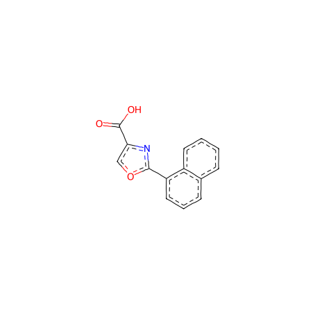 O=C(O)c1coc(-c2cccc3ccccc23)n1